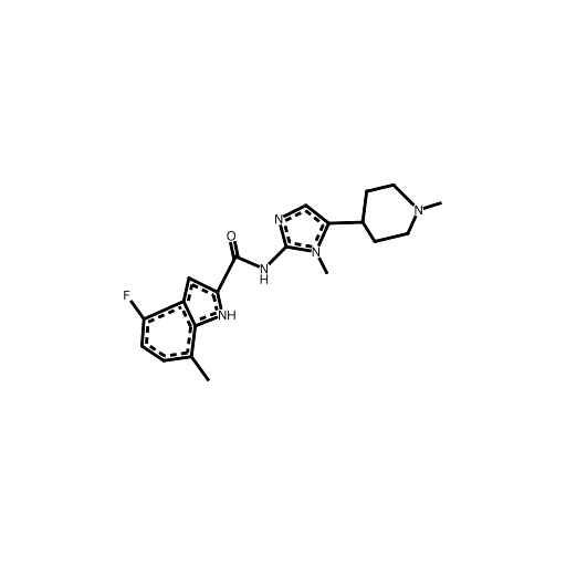 Cc1ccc(F)c2cc(C(=O)Nc3ncc(C4CCN(C)CC4)n3C)[nH]c12